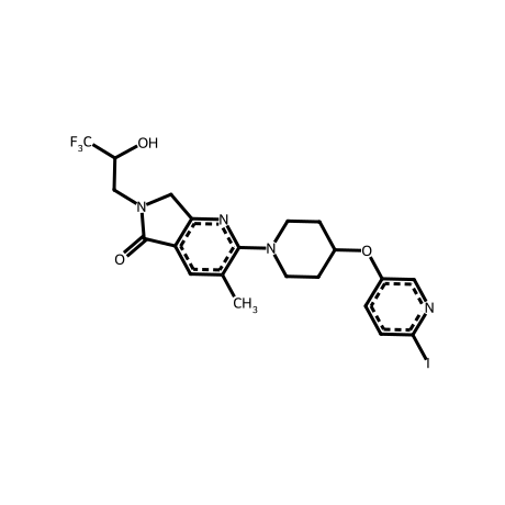 Cc1cc2c(nc1N1CCC(Oc3ccc(I)nc3)CC1)CN(CC(O)C(F)(F)F)C2=O